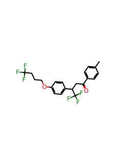 Cc1ccc(C(=O)CC(c2ccc(OCCCC(F)(F)F)cc2)C(F)(F)F)cc1